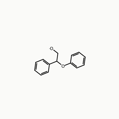 [O]CC(Oc1ccccc1)c1ccccc1